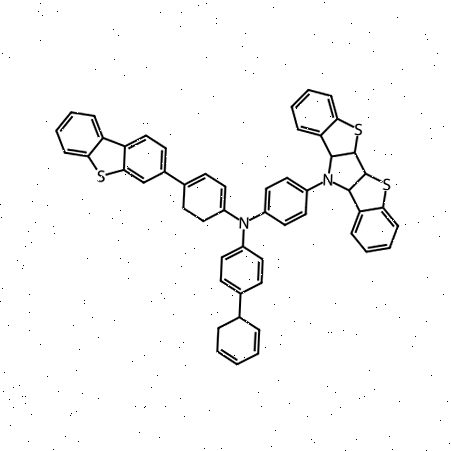 C1=CCC(c2ccc(N(C3=CC=C(c4ccc5c(c4)sc4ccccc45)CC3)c3ccc(N4C5c6ccccc6SC5C5Sc6ccccc6C54)cc3)cc2)C=C1